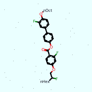 CCCCCCCCOc1ccc(-c2ccc(OC(=O)c3ccc(OCC(F)CCCCCC)cc3F)cc2)cc1F